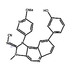 COc1ccc(-n2/c(=N\C#N)n(C)c3cnc4ccc(-c5cccc(O)c5)cc4c32)cn1